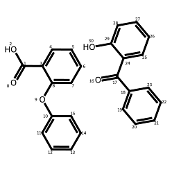 O=C(O)c1ccccc1Oc1ccccc1.O=C(c1ccccc1)c1ccccc1O